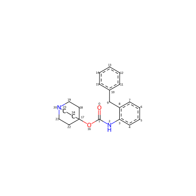 O=C(Nc1ccccc1Cc1ccccc1)OC12CCN(CC1)CC2